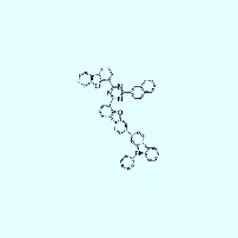 c1ccc(-n2c3ccccc3c3ccc(-c4ccc5c(c4)oc4c(-c6nc(-c7ccc8ccccc8c7)nc(-c7cccc8c7oc7ccccc78)n6)cccc45)cc32)cc1